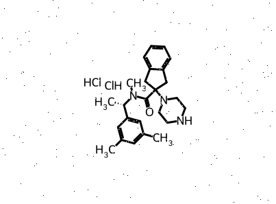 Cc1cc(C)cc([C@H](C)N(C)C(=O)C2(N3CCNCC3)Cc3ccccc3C2)c1.Cl.Cl